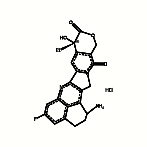 CC[C@@]1(O)C(=O)OCc2c1cc1n(c2=O)Cc2c-1nc1cc(F)cc3c1c2C(N)CC3.Cl